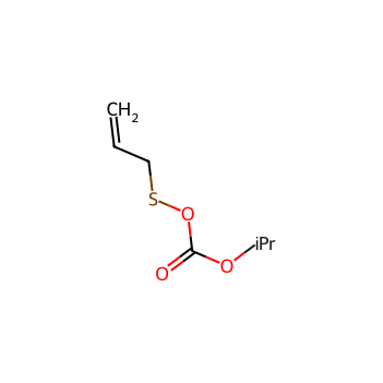 C=CCSOC(=O)OC(C)C